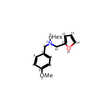 CCCCCCN(Cc1ccc(OC)cc1)Cc1ccco1